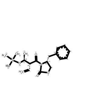 C=C[C@@H](C(=O)N1C(=O)OC[C@H]1Cc1ccccc1)[C@H](C)O[Si](C)(C)C(C)(C)C